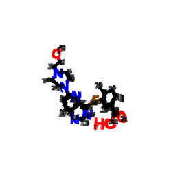 COCCN1CCN(c2ccc3ncnc(Sc4cc(C(=O)O)ccc4C)c3n2)CC1